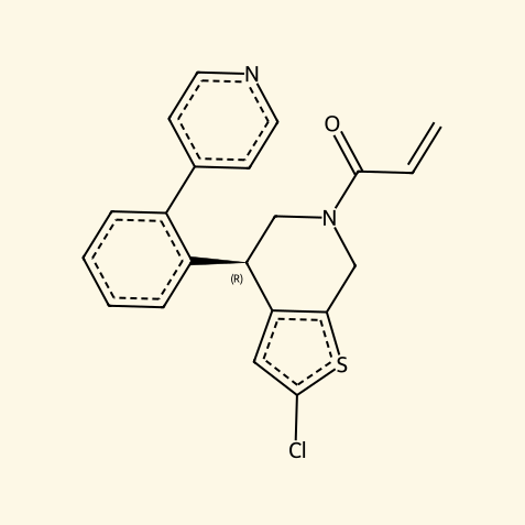 C=CC(=O)N1Cc2sc(Cl)cc2[C@@H](c2ccccc2-c2ccncc2)C1